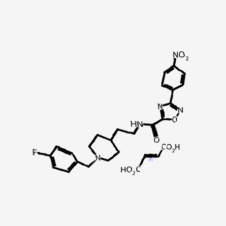 O=C(NCCC1CCN(Cc2ccc(F)cc2)CC1)c1nc(-c2ccc([N+](=O)[O-])cc2)no1.O=C(O)/C=C/C(=O)O